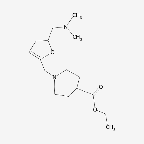 CCOC(=O)C1CCN(CC2=CCC(CN(C)C)O2)CC1